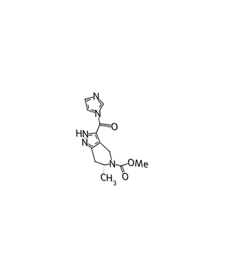 COC(=O)N1Cc2c(n[nH]c2C(=O)n2ccnc2)C[C@H]1C